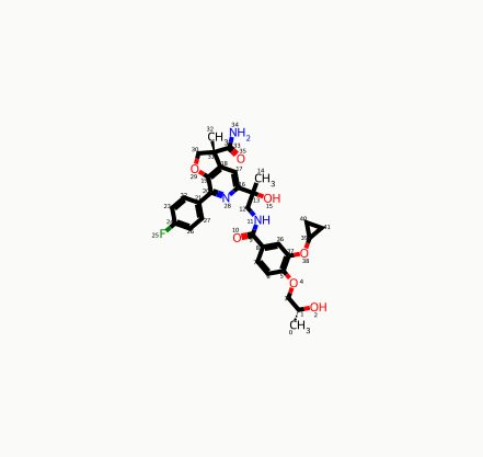 C[C@@H](O)COc1ccc(C(=O)NCC(C)(O)c2cc3c(c(-c4ccc(F)cc4)n2)OC[C@]3(C)C(N)=O)cc1OC1CC1